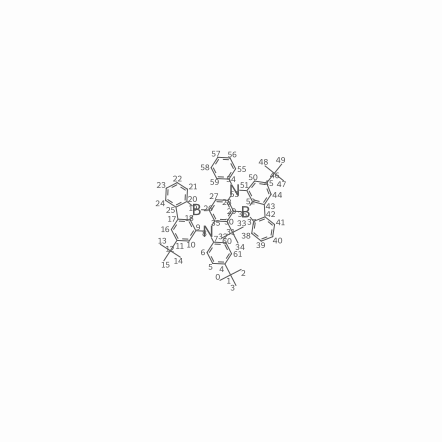 CC(C)(C)c1ccc(N2c3cc(C(C)(C)C)cc4c3B(c3ccccc3-4)c3cc4c(c(C(C)(C)C)c32)B2c3ccccc3-c3cc(C(C)(C)C)cc(c32)N4c2ccccc2)cc1